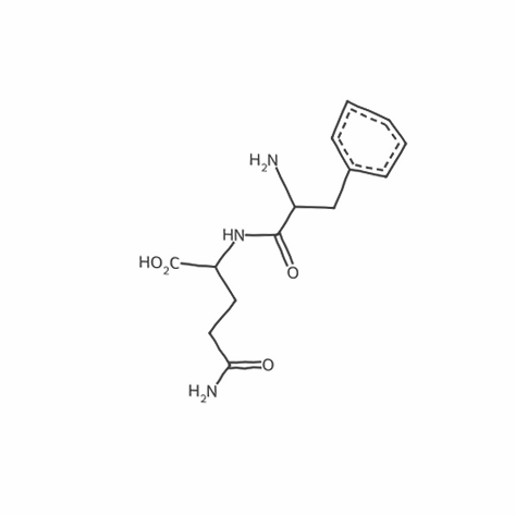 NC(=O)CCC(NC(=O)C(N)Cc1ccccc1)C(=O)O